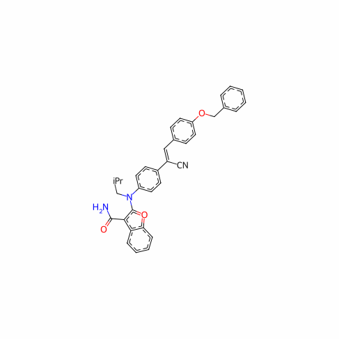 CC(C)CN(c1ccc(/C(C#N)=C/c2ccc(OCc3ccccc3)cc2)cc1)c1oc2ccccc2c1C(N)=O